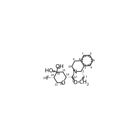 C=C[C@H]1c2ccccc2CCN1C(=O)[C@H]1CC(O)(O)[C@@H](F)CO1